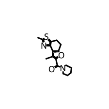 Cc1nc2c(s1)CCc1oc(C(=O)N3CCCCC3)c(C)c1-2